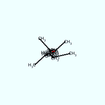 CCCCCCCCCCCCCCCCCC[N+](C)(C)CCC[Si](OCC(CO)(CO)NC(=O)CCCCCCCCCCCCCCC)(OCC(CO)(CO)NC(=O)CCCCCCCCCCCCCCC)OCC(CO)(CO)NC(=O)CCCCCCCCCCCCCCC